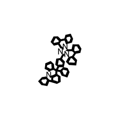 c1ccc(-c2ccccc2-c2nc(-c3ccc(C4(c5ccccc5)c5ccccc5-n5c6ccccc6c6cccc4c65)cc3)nc(-c3ccccc3-c3ccccc3)n2)cc1